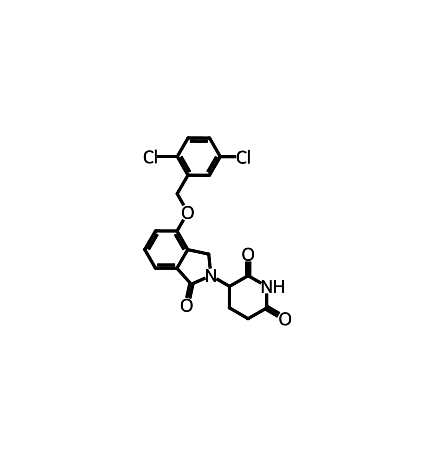 O=C1CCC(N2Cc3c(OCc4cc(Cl)ccc4Cl)cccc3C2=O)C(=O)N1